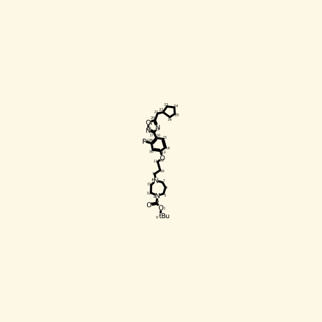 CC(C)(C)OC(=O)N1CCCN(CCCOc2ccc(-c3noc(CC4CCCC4)n3)c(F)c2)CC1